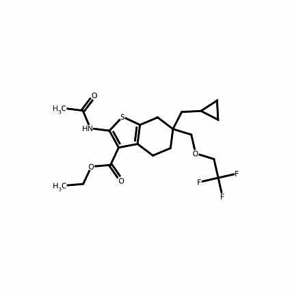 CCOC(=O)c1c(NC(C)=O)sc2c1CCC(COCC(F)(F)F)(CC1CC1)C2